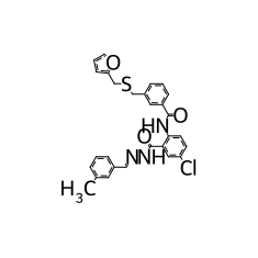 Cc1cccc(/C=N/NC(=O)c2cc(Cl)ccc2NC(=O)c2cccc(CSCc3ccco3)c2)c1